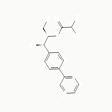 O=C(N[C@H](CF)[C@H](O)c1ccc(-c2cnccn2)cc1)C(Cl)Cl